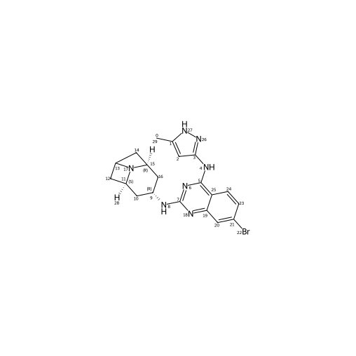 Cc1cc(Nc2nc(N[C@@H]3C[C@H]4CC5C[C@@H](C3)N54)nc3cc(Br)ccc23)n[nH]1